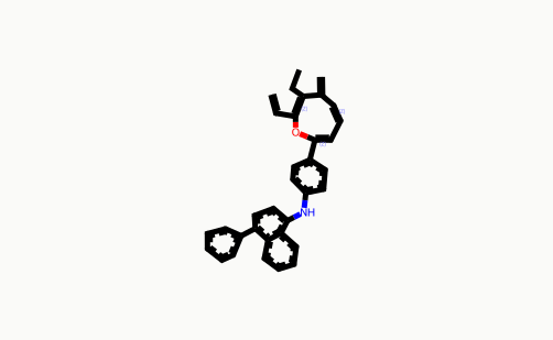 C=C/C1=C(\CC)C(=C)/C=C\C=C(\c2ccc(Nc3ccc(-c4ccccc4)c4ccccc34)cc2)O1